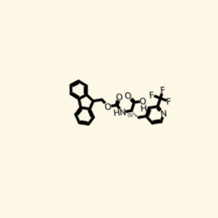 O=C(N[C@@H](Cc1ccnc(C(F)(F)F)c1)C(=O)O)OCC1c2ccccc2-c2ccccc21